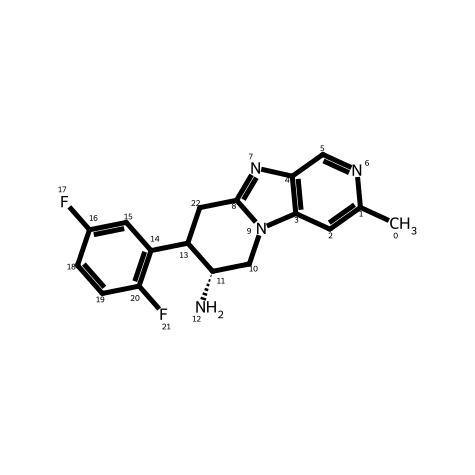 Cc1cc2c(cn1)nc1n2C[C@H](N)C(c2cc(F)ccc2F)C1